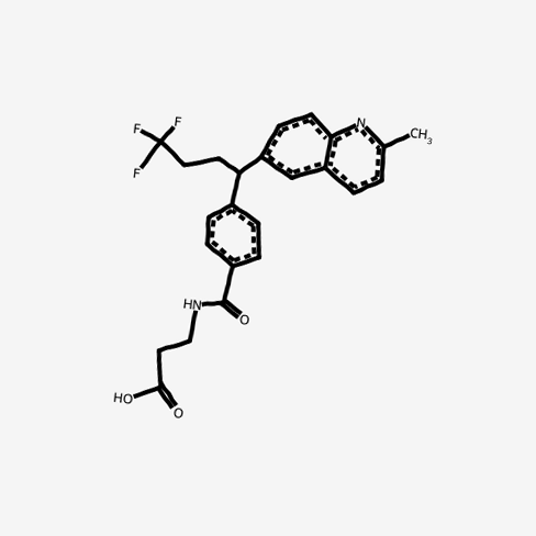 Cc1ccc2cc(C(CCC(F)(F)F)c3ccc(C(=O)NCCC(=O)O)cc3)ccc2n1